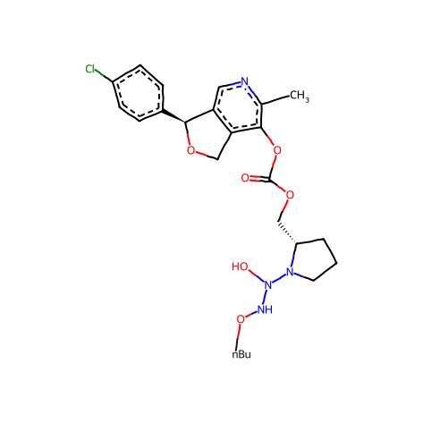 CCCCONN(O)N1CCC[C@H]1COC(=O)Oc1c(C)ncc2c1CO[C@H]2c1ccc(Cl)cc1